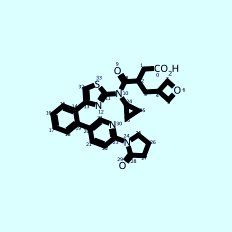 O=C(O)CC(CC1COC1)C(=O)N(c1nc(-c2ccccc2-c2ccc(N3CCCC3=O)nc2)cs1)C1CC1